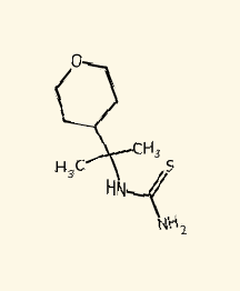 CC(C)(NC(N)=S)C1CCOCC1